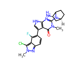 Cn1nc2ccc(-c3c[nH]c4nc(N5C6CC[C@H]5C[C@H]6N)n(C)c(=O)c34)c(F)c2c1Cl